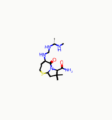 CN[C@@H](C)NCNC1CCSC2CC(C)(C)C(C(N)=O)N2C1=O